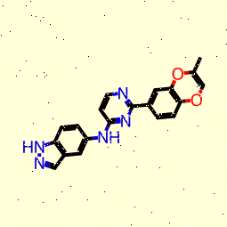 CC1=COc2ccc(-c3nccc(Nc4ccc5[nH]ncc5c4)n3)cc2O1